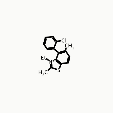 CC[n+]1c(C)sc2ccc(C)c(-c3ccccc3Cl)c21